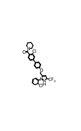 O=C(c1ccc(-c2ccc(OCC3=CC(C(F)(F)F)NN3C3=CC=CCC3Cl)cc2)cc1Cl)N1CCCCC1